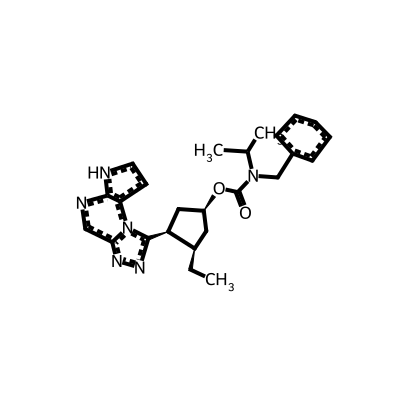 CC[C@@H]1C[C@H](OC(=O)N(Cc2ccccc2)C(C)C)C[C@@H]1c1nnc2cnc3[nH]ccc3n12